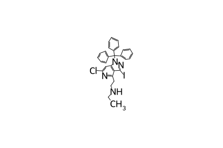 CCNCCc1nc(Cl)cc2c1c(I)nn2C(c1ccccc1)(c1ccccc1)c1ccccc1